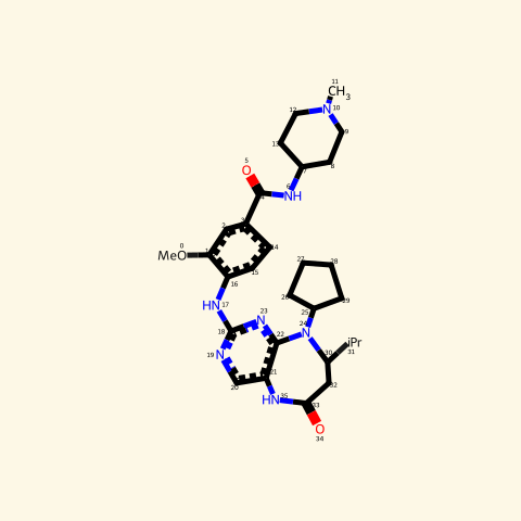 COc1cc(C(=O)NC2CCN(C)CC2)ccc1Nc1ncc2c(n1)N(C1CCCC1)C(C(C)C)CC(=O)N2